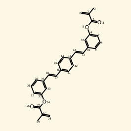 C=C(C)C(=O)Oc1cccc(/C=C/c2ccc(/C=C/c3cccc(OC(=O)C(=C)C)c3)cc2)c1